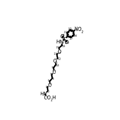 O=C(O)NCCOCCCOCCOCCOCCNS(=O)(=O)c1ccc([N+](=O)[O-])cc1